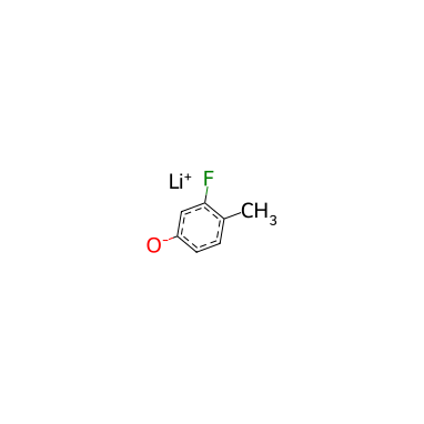 Cc1ccc([O-])cc1F.[Li+]